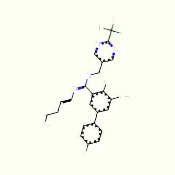 CCC/C=C/N=C(/NCc1cnc(C(F)(F)F)nc1)c1cc(-c2ccc(F)cc2)cc(C)c1C